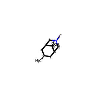 C[C@H]1CC2CN(I)CC(C1)[C@@H]2C